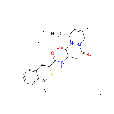 CC(=O)S[C@@H](Cc1ccccc1)C(=O)NC1CC(=O)N2CC=C[C@@H](C(=O)O)N2C1=O